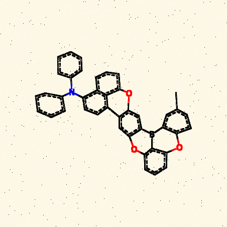 Cc1ccc2c(c1)B1c3cc4c(cc3Oc3cccc(c31)O2)-c1ccc(N(c2ccccc2)c2ccccc2)c2cccc(c12)O4